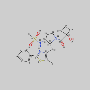 Cc1sc(-c2ccccc2)nc1C[C@@H]1[C@H](NS(C)(=O)=O)CCN1C(=O)C1(O)CCC1